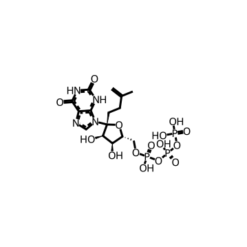 C=C(C)CC[C@@]1(n2cnc3c(=O)[nH]c(=O)[nH]c32)O[C@H](COP(=O)(O)OP(=O)(O)OP(=O)(O)O)[C@@H](O)[C@H]1O